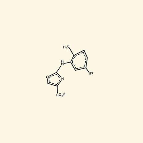 Cc1ccc(C(C)C)cc1Nc1nc(C(=O)O)co1